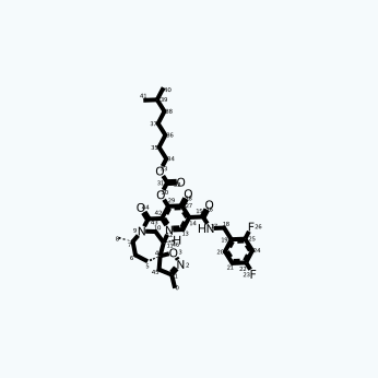 CC1=NO[C@@]2(CC[C@H](C)N3C[C@H]2n2cc(C(=O)NCc4ccc(F)cc4F)c(=O)c(OC(=O)OCCCCCC(C)C)c2C3=O)C1